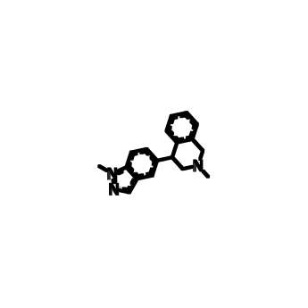 CN1Cc2ccccc2C(c2ccc3c(cnn3C)c2)C1